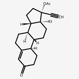 C#C[C@]1(OC(C)=O)CC[C@H]2[C@@H]3CCC4=CC(=O)CC[C@@H]4[C@H]3CC[C@@]21CC